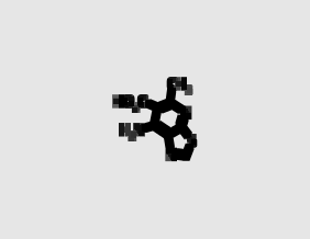 Cc1nc2scnc2c(N)c1C(=O)O